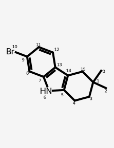 CC1(C)CCc2[nH]c3cc(Br)ccc3c2C1